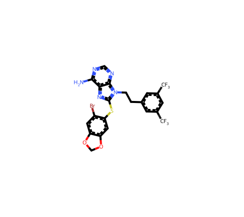 Nc1ncnc2c1nc(Sc1cc3c(cc1Br)OCO3)n2CCc1cc(C(F)(F)F)cc(C(F)(F)F)c1